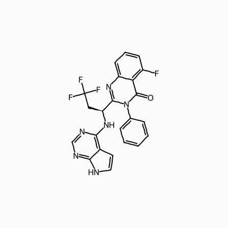 O=c1c2c(F)cccc2nc([C@H](CC(F)(F)F)Nc2ncnc3[nH]ccc23)n1-c1ccccc1